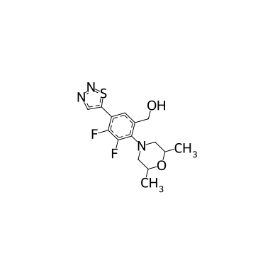 CC1CN(c2c(CO)cc(-c3cnns3)c(F)c2F)CC(C)O1